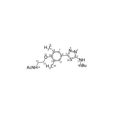 CCCCNc1nnc(-c2cc(C)c(OCCNC(C)=O)c(C)c2)s1